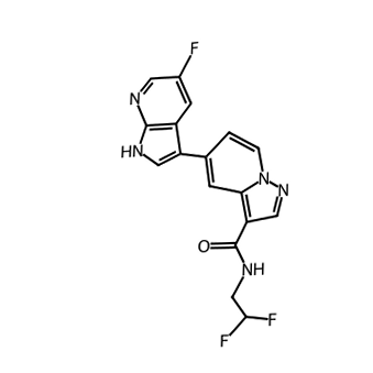 O=C(NCC(F)F)c1cnn2ccc(-c3c[nH]c4ncc(F)cc34)cc12